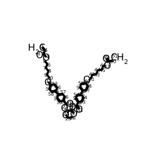 C=CC(=O)OCCCCCCOc1ccc(-c2ccc(C(=O)O[C@H]3OCCO[C@@H]3OC(=O)c3ccc(-c4ccc(OCCCCCCOC(=O)C=C)cc4)cc3)cc2)cc1